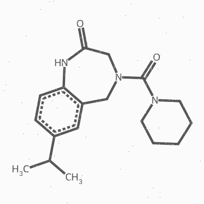 CC(C)c1ccc2c(c1)CN(C(=O)N1CCCCC1)CC(=O)N2